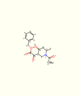 CC(C)COC(=O)N1CC(C(=O)C(=O)OCc2ccccc2)C(=O)CC1C